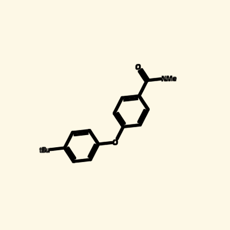 CNC(=O)c1ccc(Oc2ccc(C(C)(C)C)cc2)cc1